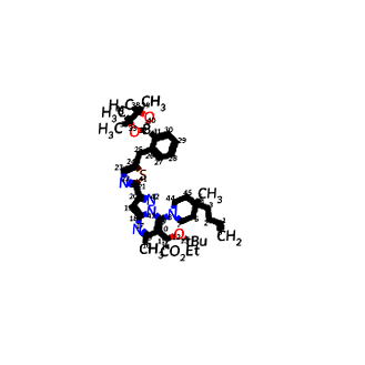 C=CCCC1(C)CCN(c2c([C@H](OC(C)(C)C)C(=O)OCC)c(C)nc3cc(-c4ncc(Cc5ccccc5B5OC(C)(C)C(C)(C)O5)s4)nn23)CC1